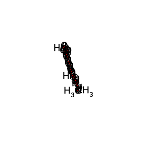 CN(C)c1ccc(-c2ccc(-c3nc4ccc(NCCOCCOCCOCCOCCOCCOc5ccc6c(c5)CN(C5CCC(=O)NC5=O)C6=O)cc4s3)nc2)cn1